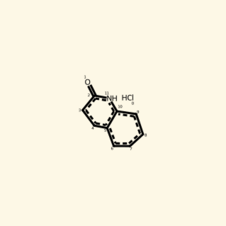 Cl.O=c1ccc2ccccc2[nH]1